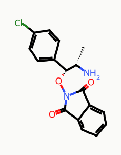 C[C@H](N)[C@H](ON1C(=O)c2ccccc2C1=O)c1ccc(Cl)cc1